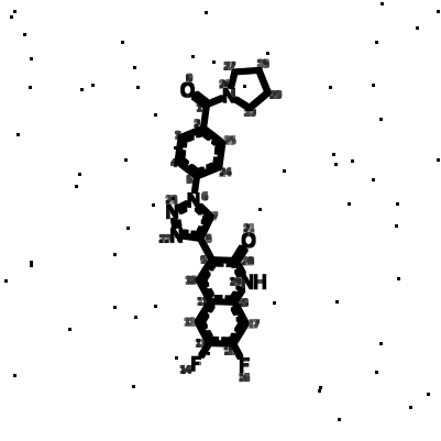 O=C(c1ccc(-n2cc(-c3cc4cc(F)c(F)cc4[nH]c3=O)nn2)cc1)N1CCCC1